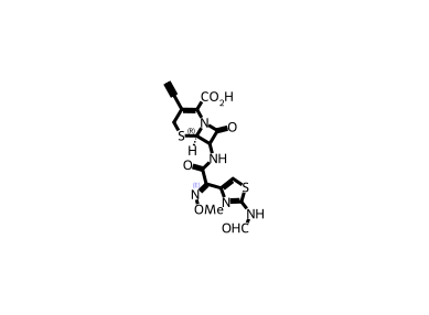 C#CC1=C(C(=O)O)N2C(=O)C(NC(=O)/C(=N/OC)c3csc(NC=O)n3)[C@H]2SC1